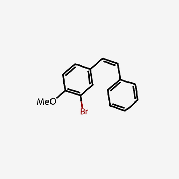 COc1ccc(/C=C\c2ccccc2)cc1Br